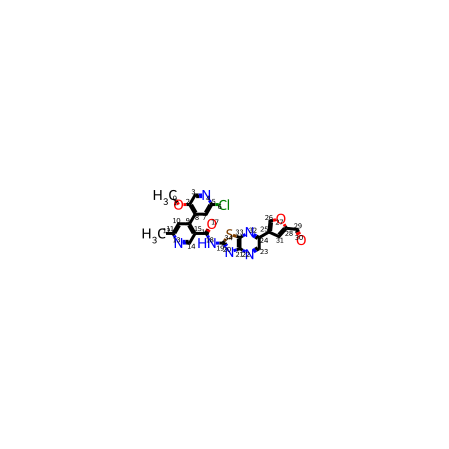 COc1cnc(Cl)cc1-c1cc(C)ncc1C(=O)Nc1nc2ncc(-c3coc(C=O)c3)nc2s1